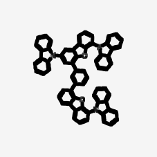 c1cc(-c2cccc3c2oc2c(-n4c5ccccc5c5ccccc54)cccc23)cc(-c2cc(-n3c4ccccc4c4ccccc43)cc3c2oc2c(-n4c5ccccc5c5ccccc54)cccc23)c1